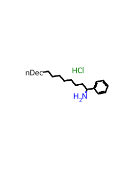 CCCCCCCCCCCCCCCCCC(N)c1ccccc1.Cl